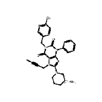 CC#CCn1c(N2CCC[C@@H](N)C2)nc2c1c(=O)n(Cc1ccc(C#N)nc1)c(=O)n2-c1ccccc1